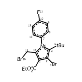 CCOC(=O)c1c(Br)c(C(C)(C)C)n(-c2ccc(F)cc2)c1CBr